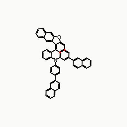 c1cc(-c2ccc3ccccc3c2)cc(N(c2ccc(-c3ccc4ccccc4c3)cc2)c2ccccc2-c2cccc3oc4cc5ccccc5cc4c23)c1